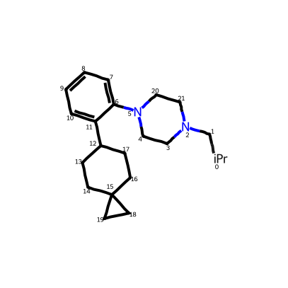 CC(C)CN1CCN(c2ccccc2C2CCC3(CC2)CC3)CC1